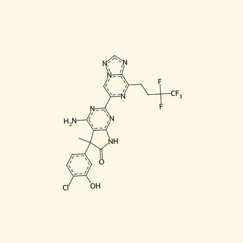 CC1(c2ccc(Cl)c(O)c2)C(=O)Nc2nc(-c3cn4ncnc4c(CCC(F)(F)C(F)(F)F)n3)nc(N)c21